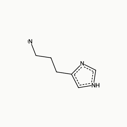 [N]CCCc1c[nH]cn1